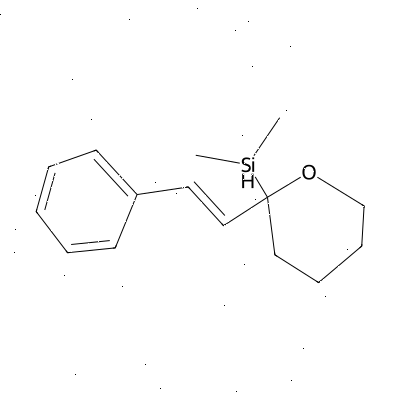 C[SiH](C)C1(C=Cc2ccccc2)CCCCO1